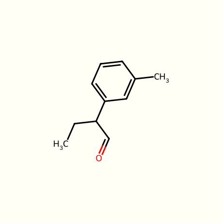 CCC(C=O)c1cccc(C)c1